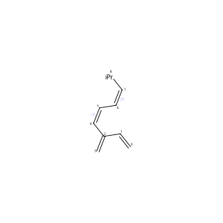 C=CC(=C)/C=C\C=C/C(C)C